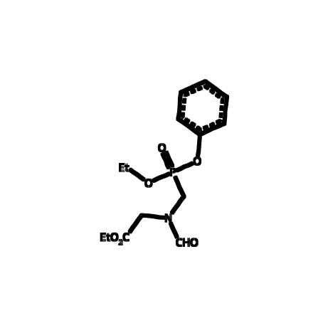 CCOC(=O)CN(C=O)CP(=O)(OCC)Oc1ccccc1